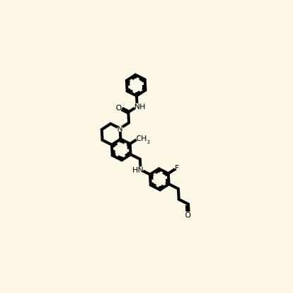 Cc1c(CNc2ccc(CCC=O)c(F)c2)ccc2c1N(CC(=O)Nc1ccccc1)CCC2